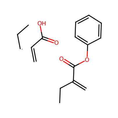 C=C(CC)C(=O)Oc1ccccc1.C=CC(=O)O.[CH2]CC